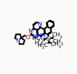 C#Cc1c([Si](C(C)C)(C(C)C)C(C)C)cc2ccccc2c1-c1nccc2nc(OCC34CCCN3CCC4)nc(N)c12